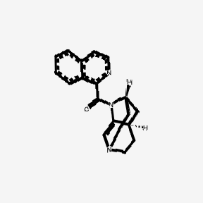 O=C(c1nccc2ccccc12)N1C2=CN3CC[C@@H]2C[C@@H]1C3